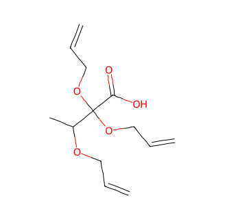 C=CCOC(C)C(OCC=C)(OCC=C)C(=O)O